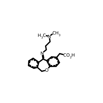 CN(C)CCCN=C1c2ccccc2COc2ccc(CC(=O)O)cc21